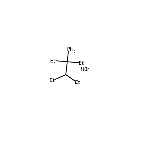 Br.CCC(CC)C(P)(CC)CC